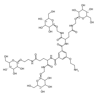 NCCOc1cc(C(=O)NC(CCC(=O)NCCO[C@@H]2OC(CO)[C@@H](O)C(O)C2O)C(=O)NCO[C@@H]2OC(CO)[C@@H](O)C(O)C2O)cc(C(=O)NC(CCC(=O)NCO[C@@H]2OC(CO)[C@@H](O)C(O)C2O)C(=O)NCO[C@@H]2OC(CO)[C@@H](O)C(O)C2O)c1